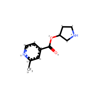 O=C(OC1CCNC1)c1ccnc(C(F)(F)F)c1